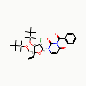 C=C[C@]1(CO[Si](C)(C)C(C)(C)C)O[C@@H](n2ccc(=O)n(C(=O)c3ccccc3)c2=O)[C@@H](F)[C@@H]1O[Si](C)(C)C(C)(C)C